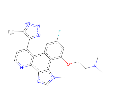 CN(C)CCOc1cc(F)cc2c3c(-c4nn[nH]c4C(F)(F)F)ccnc3c3ncn(C)c3c12